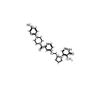 Cc1c(N2CCC[C@H]2COc2ccnc(C(=O)N3CCN(c4ccc(C#N)cn4)CC3)c2)cn[nH]c1=O